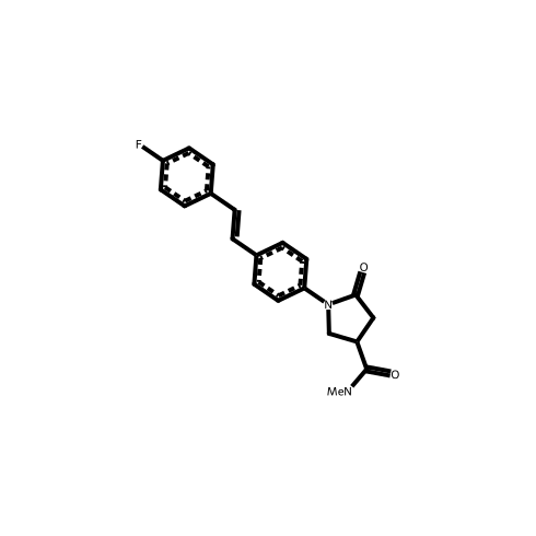 CNC(=O)C1CC(=O)N(c2ccc(C=Cc3ccc(F)cc3)cc2)C1